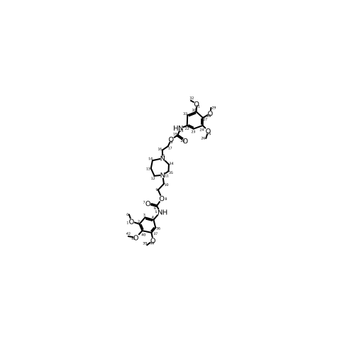 COc1cc(NC(=O)OCCN2CCCN(CCOC(=O)Nc3cc(OC)c(OC)c(OC)c3)CC2)cc(OC)c1OC